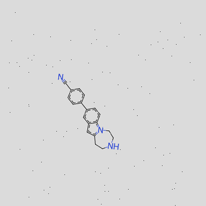 N#Cc1ccc(-c2ccc3c(c2)cc2n3CCNCC2)cc1